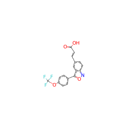 O=C(O)/C=C/c1ccc2noc(-c3ccc(OC(F)(F)F)cc3)c2c1